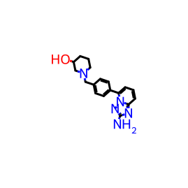 Nc1nc2cccc(-c3ccc(CN4CCCC(O)C4)cc3)n2n1